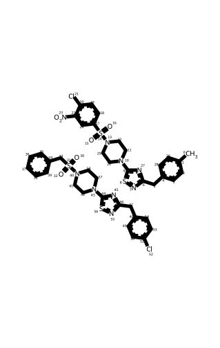 Cc1ccc(Cc2nsc(N3CCN(S(=O)(=O)c4ccc(Cl)c([N+](=O)[O-])c4)CC3)n2)cc1.O=S(=O)(Cc1ccccc1)N1CCN(c2nc(Cc3ccc(Cl)cc3)ns2)CC1